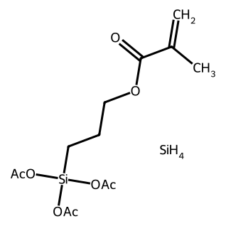 C=C(C)C(=O)OCCC[Si](OC(C)=O)(OC(C)=O)OC(C)=O.[SiH4]